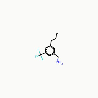 [CH2]CCc1cc(CN)cc(C(F)(F)F)c1